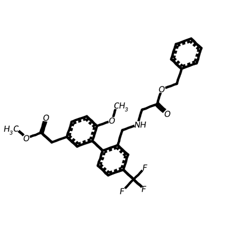 COC(=O)Cc1ccc(OC)c(-c2ccc(C(F)(F)F)cc2CNCC(=O)OCc2ccccc2)c1